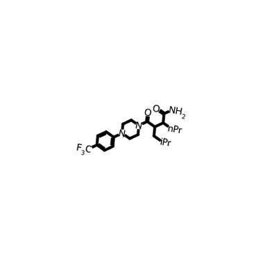 CCCC(C(N)=O)C(CC(C)C)C(=O)N1CCN(c2ccc(C(F)(F)F)cc2)CC1